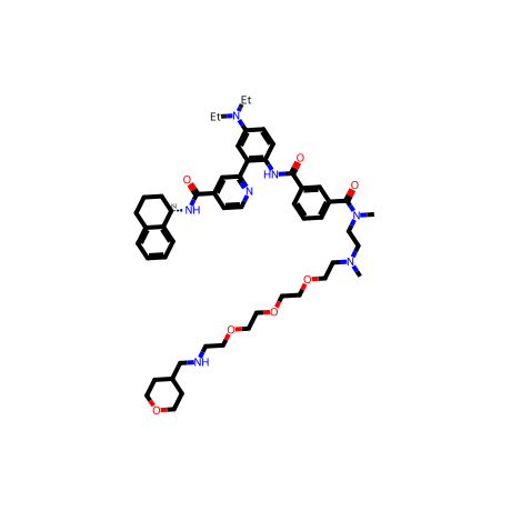 CCN(CC)c1ccc(NC(=O)c2cccc(C(=O)N(C)CCN(C)CCOCCOCCOCCNCC3CCOCC3)c2)c(-c2cc(C(=O)N[C@H]3CCCc4ccccc43)ccn2)c1